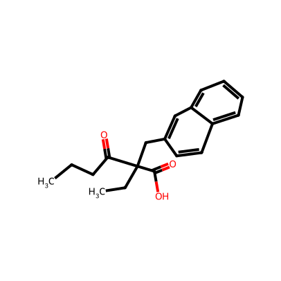 CCCC(=O)C(CC)(Cc1ccc2ccccc2c1)C(=O)O